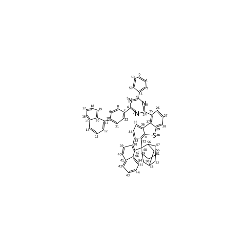 c1ccc(-c2nc(-c3ccc(-c4cccc5ccccc45)cc3)nc(-c3cccc4sc5c6c(ccc5c34)-c3ccc4ccccc4c3C63C4CC5CC(C4)CC3C5)n2)cc1